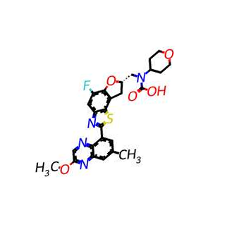 COc1cnc2c(-c3nc4cc(F)c5c(c4s3)C[C@@H](CN(C(=O)O)C3CCOCC3)O5)cc(C)cc2n1